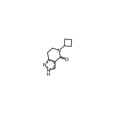 O=C1c2c[nH]nc2CCN1C1CCC1